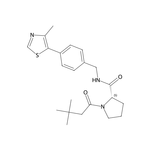 Cc1ncsc1-c1ccc(CNC(=O)[C@@H]2CCCN2C(=O)CC(C)(C)C)cc1